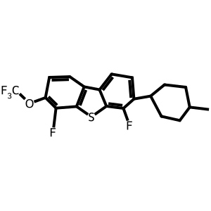 CC1CCC(c2ccc3c(sc4c(F)c(OC(F)(F)F)ccc43)c2F)CC1